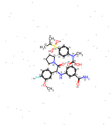 COc1cc([C@H](Nc2cccc(C(N)=O)c2)C(=O)N2CCC[C@@H]2c2cc(N(C)C(=O)O)ccc2S(=O)(=O)C(C)C)ccc1F